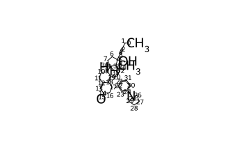 CCC#C[C@]1(O)CC[C@H]2[C@@H]3CCC4=CC(=O)CCC4=C3[C@@H](c3ccc(N4CCCC4)cc3)C[C@@]21C